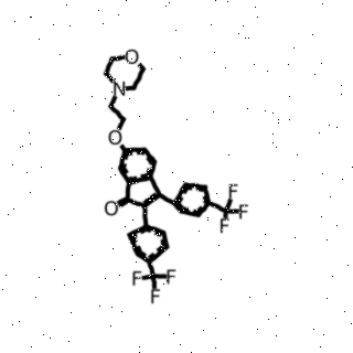 O=C1C(c2ccc(C(F)(F)F)cc2)=C(c2ccc(C(F)(F)F)cc2)c2ccc(OCCN3CCOCC3)cc21